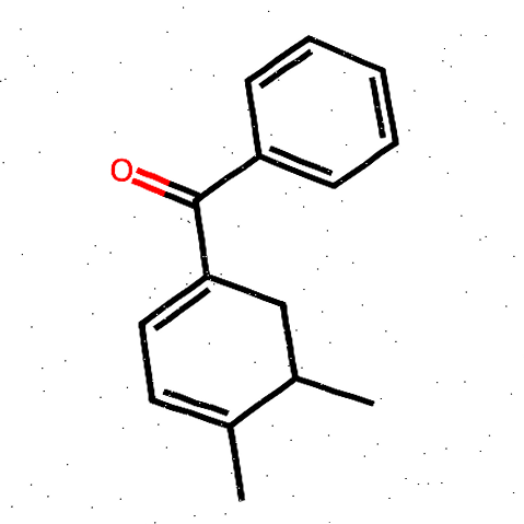 CC1=CC=C(C(=O)c2ccccc2)CC1C